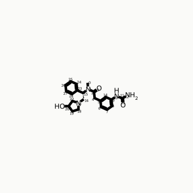 CN(C(=O)Cc1cccc(NC(N)=O)c1)[C@H](CN1CCC(O)C1)c1ccccc1